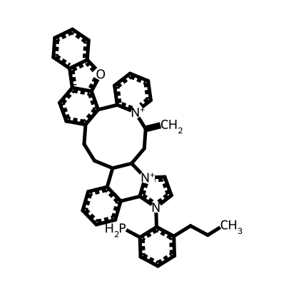 C=C1CC2C(CCc3ccc4c(oc5ccccc54)c3-c3cccc[n+]31)c1ccccc1-c1n(-c3c(P)cccc3CCC)cc[n+]12